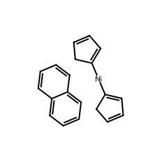 C1=CC[C]([Ni][C]2=CC=CC2)=C1.c1ccc2ccccc2c1